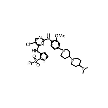 COc1cc(N2CCC(N3CCC(N(C)C)CC3)CC2)ccc1Nc1ncc(Cl)c(Nc2ccsc2S(=O)(=O)C(C)C)n1